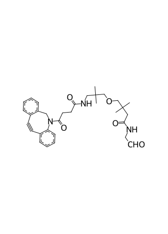 CC(C)(CNC(=O)CCC(=O)N1Cc2ccccc2C#Cc2ccccc21)COCC(C)(C)CC(=O)NCC=O